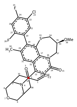 C=CC(=O)N1C2COCC1CN(c1nc(=O)n3c4c(c(-c5cc(Cl)c(F)cc5F)c(C)cc14)SC[C@@H](OC)C3)C2